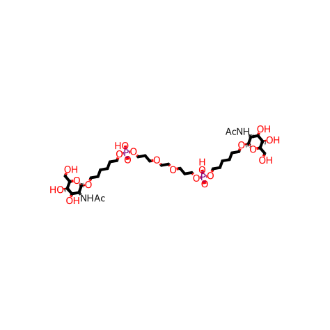 CC(=O)NC1C(O)[C@@H](O)C(CO)O[C@H]1OCCCCCCOP(=O)(O)OCCCOCCOCCCOP(=O)(O)OCCCCCCO[C@@H]1OC(CO)[C@H](O)C(O)[C@@H]1NC(C)=O